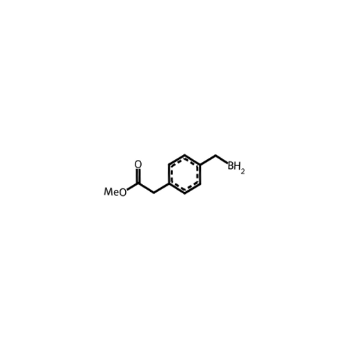 BCc1ccc(CC(=O)OC)cc1